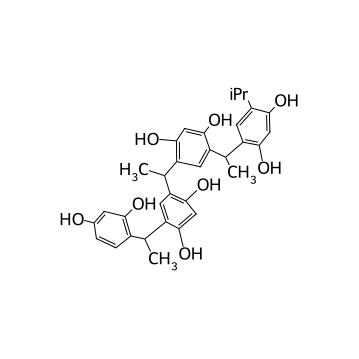 CC(C)c1cc(C(C)c2cc(C(C)c3cc(C(C)c4ccc(O)cc4O)c(O)cc3O)c(O)cc2O)c(O)cc1O